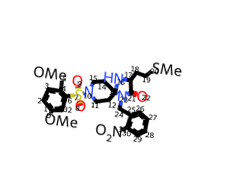 COc1ccc(OC)c(S(=O)(=O)N2CCC3(CC2)NC(CCSC)C(=O)N3Cc2ccccc2[N+](=O)[O-])c1